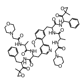 COc1ccc(CC(NC(=O)C(C)NC(=O)CN2CCOCC2)C(=O)NC(C(=O)C2(C)CO2)c2ccccc2)cc1-c1cncc(CC(NC(=O)C(C)NC(=O)CN2CCOCC2)C(=O)NC(Cc2ccccc2)C(=O)C2(C)CO2)c1